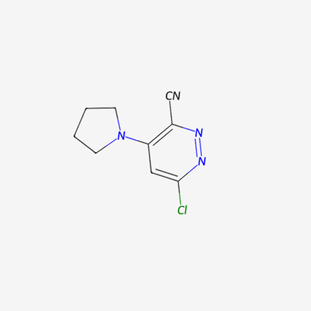 N#Cc1nnc(Cl)cc1N1CCCC1